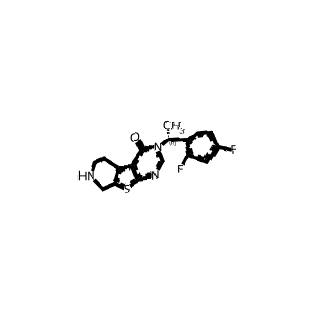 C[C@H](c1ccc(F)cc1F)n1cnc2sc3c(c2c1=O)CCNC3